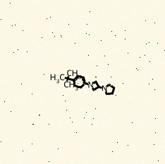 CC(C)(C)C1=CC=C(N2CC(N3CCCC3)C2)CC1